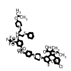 CCn1c(C)c(C(=O)O)c(C2=CC(N3CCN(c4ccc(NS(=O)(=O)c5ccc(N[C@H](CCN6CCC(OC(C)C)CC6)CSc6ccccc6)c(S(=O)(=O)C(F)(F)F)c5)cc4)CC3)=CC(F)C2C)c1-c1ccc(Cl)cc1